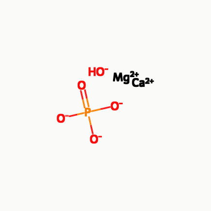 O=P([O-])([O-])[O-].[Ca+2].[Mg+2].[OH-]